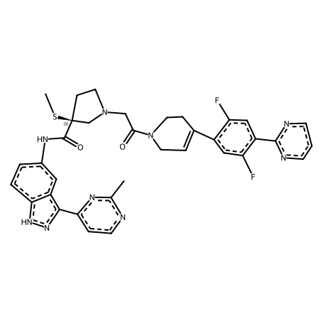 CS[C@@]1(C(=O)Nc2ccc3[nH]nc(-c4ccnc(C)n4)c3c2)CCN(CC(=O)N2CC=C(c3cc(F)c(-c4ncccn4)cc3F)CC2)C1